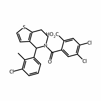 Cc1c(Cl)cccc1C1c2ccsc2CCN1C(=O)c1cc(Cl)c(Cl)cc1C(=O)O